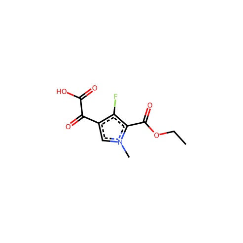 CCOC(=O)c1c(F)c(C(=O)C(=O)O)cn1C